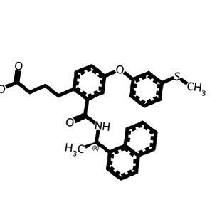 CSc1cccc(Oc2ccc(CCCC(=O)O)c(C(=O)N[C@H](C)c3cccc4ccccc34)c2)c1